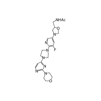 CC(=O)NCC1CN(c2cnc(N3CCN(c4ccnc(N5CCOCC5)n4)CC3)c(F)c2)CO1